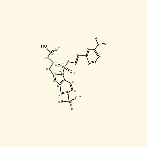 CC(C)c1cccc(C=CCS(=O)(=O)n2c(CCCC(=O)O)cc3cc(C(F)(F)F)ccc32)c1